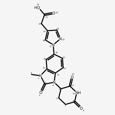 Cn1c(=O)n(C2CCC(=O)NC2=O)c2ccc(-n3cc(CC(=O)O)cn3)cc21